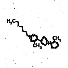 CCCCCCC[n+]1ccc(-c2cc[n+](-c3ccccc3C)cc2)c(C)c1